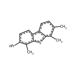 CCCc1ccc2c(sc3c(C)c(C)ccc32)c1C